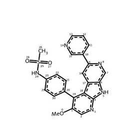 COc1cnc2[nH]c3cnc(-c4cccnc4)cc3c2c1-c1ccc(NS(C)(=O)=O)cc1